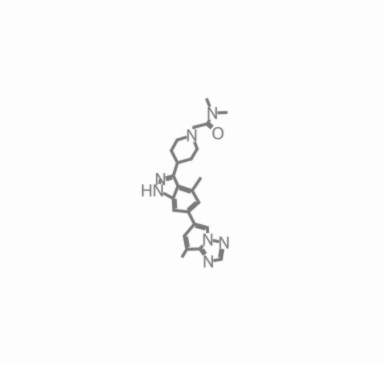 Cc1cc(-c2cc(C)c3ncnn3c2)cc2[nH]nc(C3CCN(CC(=O)N(C)C)CC3)c12